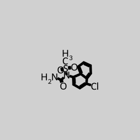 CS(=O)(=O)N(C(N)=O)c1ccc(Cl)c2ccccc12